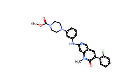 Cn1c(=O)c(-c2ccccc2Cl)cc2cnc(Nc3cccc(N4CCN(C(=O)OC(C)(C)C)CC4)c3)cc21